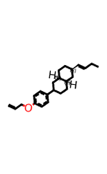 C=CCOc1ccc(C2CC[C@@H]3C[C@H](C=CCC)CC[C@@H]3C2)cc1